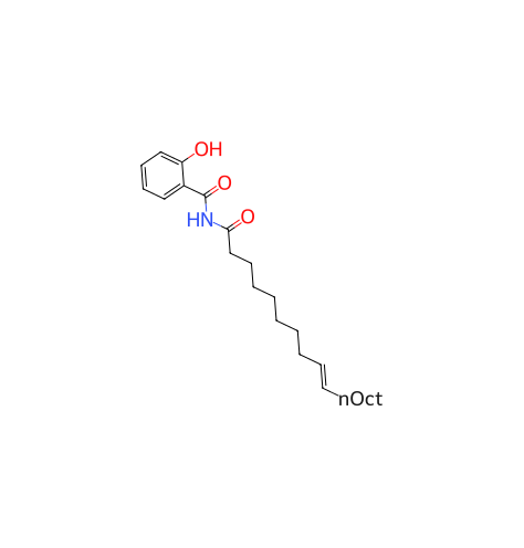 CCCCCCCCC=CCCCCCCCC(=O)NC(=O)c1ccccc1O